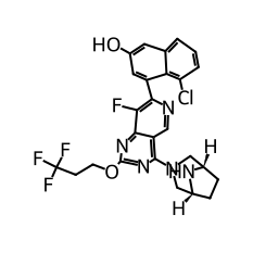 Oc1cc(-c2ncc3c(N4C[C@H]5CC[C@@H](C4)N5)nc(OCCC(F)(F)F)nc3c2F)c2c(Cl)cccc2c1